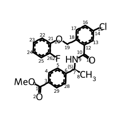 COC(=O)c1ccc([C@H](C)NC(=O)c2cc(Cl)ccc2COc2ccccc2F)cc1